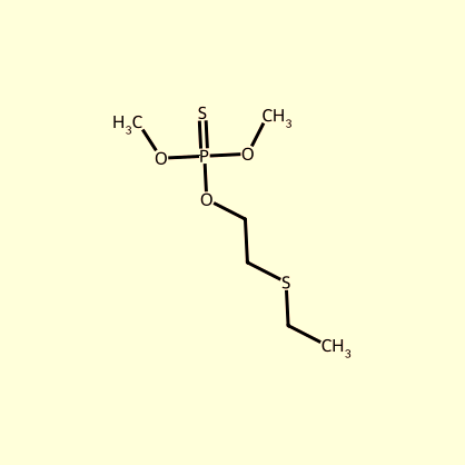 CCSCCOP(=S)(OC)OC